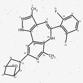 Cc1n[nH]c2c1N=C(c1c(F)cccc1F)Nc1c-2cc(N2CC3CC(C2)O3)nc1C